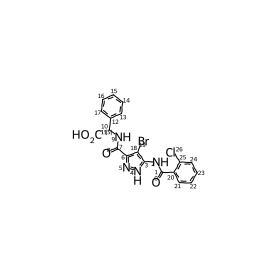 O=C(Nc1[nH]nc(C(=O)N[C@H](C(=O)O)c2ccccc2)c1Br)c1ccccc1Cl